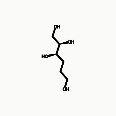 OCCC[C@@H](O)[C@H](O)CO